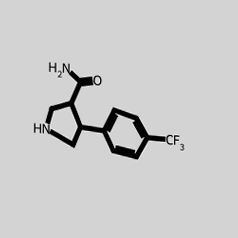 NC(=O)C1CNCC1c1ccc(C(F)(F)F)cc1